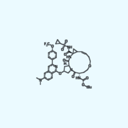 CN(C)c1ccc2c(OC3C[C@H]4C(=O)N[C@]5(C(=O)NS(=O)(=O)C6CC6)CC5/C=C\CCOCC[C@H](NC(=O)OC(C)(C)C)C(=O)N4C3)nc(-c3ccc(OC(F)(F)F)cc3)cc2c1